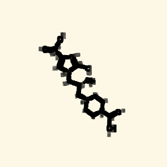 O=C(O)N1CCN(C[C@@H](O)Cn2cc([N+](=O)[O-])nc2Cl)CC1